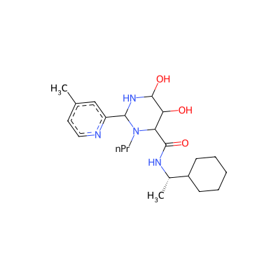 CCCN1C(c2cc(C)ccn2)NC(O)C(O)C1C(=O)N[C@@H](C)C1CCCCC1